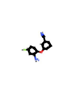 N#Cc1cccc(Oc2ccc(F)cc2N)c1